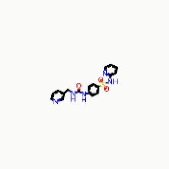 O=C(NCc1cccnc1)Nc1ccc(S(=O)(=O)Nc2ccccn2)cc1